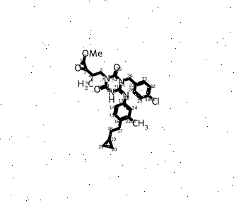 COC1OC1[C@@H](C)Cn1c(=O)[nH]/c(=N\c2ccc(CCC3CC3)c(C)c2)n(Cc2ccc(Cl)cc2)c1=O